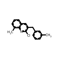 Cc1cccc(Cc2cc3cccc(C)c3nc2Cl)c1